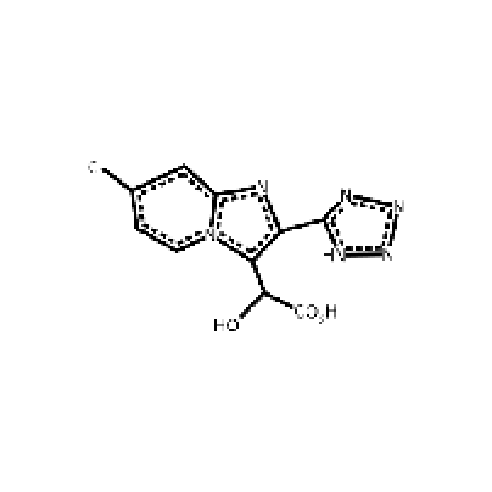 O=C(O)C(O)c1c(-c2nnn[nH]2)nc2cc(Cl)ccn12